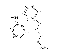 CCCCCc1ccccc1.Sc1ccccc1